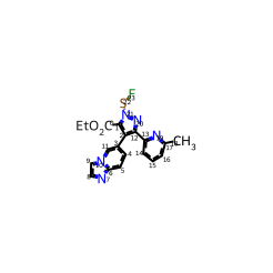 CCOC(=O)c1c(-c2ccc3nccn3c2)c(-c2cccc(C)n2)nn1SF